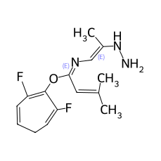 CC(C)=C/C(=N\C=C(/C)NN)OC1=C(F)C=CCC=C1F